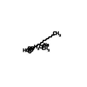 CC(C)[CH2][Na].CCCCCCCCCCCCCCCCOOP(=O)(O)O